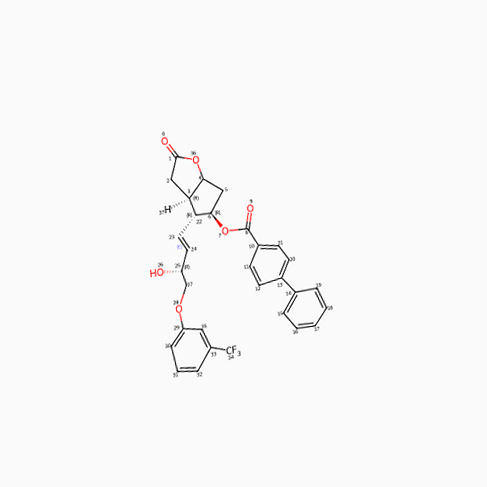 O=C1C[C@H]2C(C[C@@H](OC(=O)c3ccc(-c4ccccc4)cc3)[C@@H]2/C=C/[C@@H](O)COc2cccc(C(F)(F)F)c2)O1